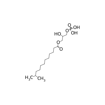 CC(C)CCCCCCCCCC(=O)OCC(O)COP(=O)(O)O